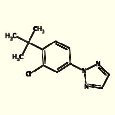 CC(C)(C)c1ccc(-n2nccn2)cc1Cl